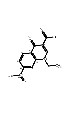 CCn1cc(C(=O)O)c(=O)c2ccc([N+](=O)[O-])cc21